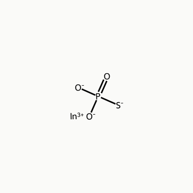 O=P([O-])([O-])[S-].[In+3]